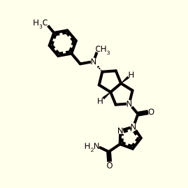 Cc1ccc(CN(C)[C@@H]2C[C@@H]3CN(C(=O)n4ccc(C(N)=O)n4)C[C@@H]3C2)cc1